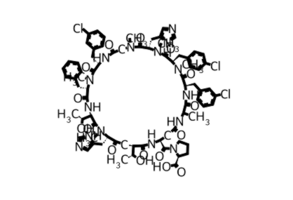 CC1NC(=O)C[C@@H](C(=O)N2CCC[C@H]2C(=O)O)NC(=O)[C@H]([C@@H](C)O)CC(=O)[C@H](Cc2cnc[nH]2)N(C)C(=O)[C@H]([C@@H](C)O)NC(=O)[C@H](Cc2ccccc2)N(C)C(=O)[C@H](Cc2cccc(Cl)c2)NC(=O)CN(C)C(=O)[C@H](Cc2cnc[nH]2)N(C)C(=O)[C@@H](Cc2ccc(Cl)cc2)N(C)C(=O)[C@@H](Cc2cccc(Cl)c2)NC1=O